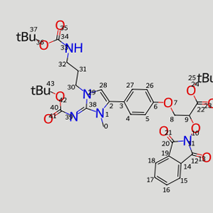 Cn1c(-c2ccc(OCC(ON3C(=O)c4ccccc4C3=O)C(=O)OC(C)(C)C)cc2)cn(CCCNC(=O)OC(C)(C)C)c1=NC(=O)OC(C)(C)C